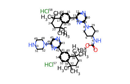 CC(C)(C)OC(=O)NC1CCN(c2cncc(-c3ccc4c(c3)C(C)(C)CCC4(C)C)n2)CC1.CC1(C)CCC(C)(C)c2cc(-c3cncc(N4CCNCC4)n3)ccc21.Cl.Cl